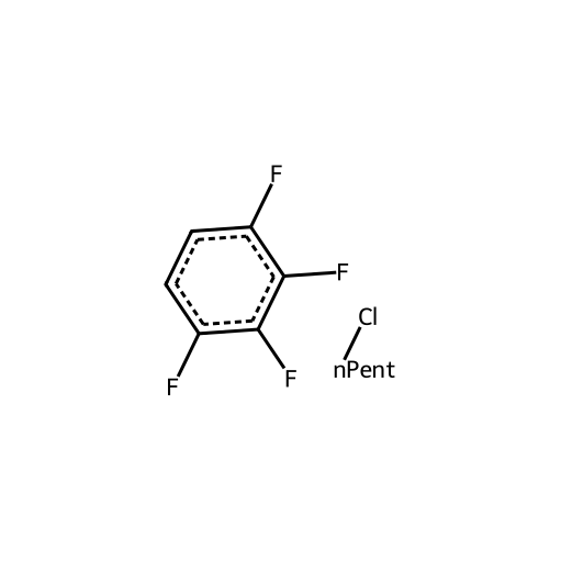 CCCCCCl.Fc1ccc(F)c(F)c1F